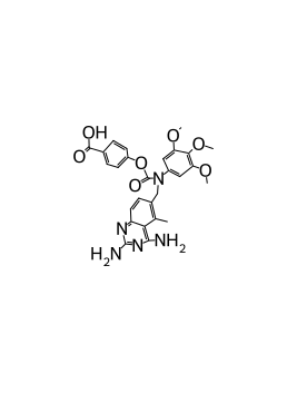 COc1cc(N(Cc2ccc3nc(N)nc(N)c3c2C)C(=O)Oc2ccc(C(=O)O)cc2)cc(OC)c1OC